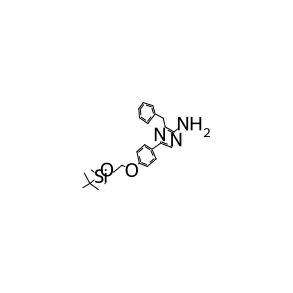 CC(C)(C)[Si](C)(C)OCCOc1ccc(-c2cnc(N)c(Cc3ccccc3)n2)cc1